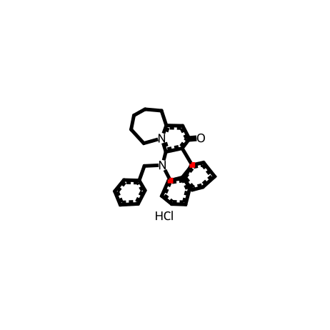 Cl.O=c1cc2n(c(N(Cc3ccccc3)Cc3ccccc3)c1Cc1ccccc1)CCCCC2